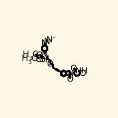 CC(C)(C)OC(=O)N(CCCOCCC#Cc1ccc2c(c1)CN(C1CCC(=O)NC1=O)C2=O)C1CCC(N=[N+]=[N-])CC1